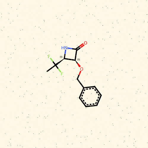 CC(F)(F)[C@H]1NC(=O)[C@H]1OCc1ccccc1